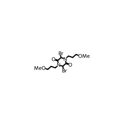 COCCCN1C(=O)C(Br)N(CCCOC)C(=O)C1Br